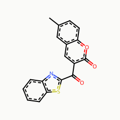 Cc1ccc2oc(=O)c(C(=O)c3nc4ccccc4s3)cc2c1